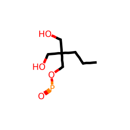 CCCC(CO)(CO)COP=O